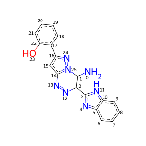 NC1C(c2nc3ccccc3[nH]2)N=Nc2cc(-c3ccccc3O)nn21